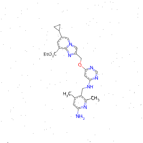 CCOC(=O)c1cc(C2CC2)cn2cc(COc3cc(NCc4c(C)cc(N)nc4C)ncn3)nc12